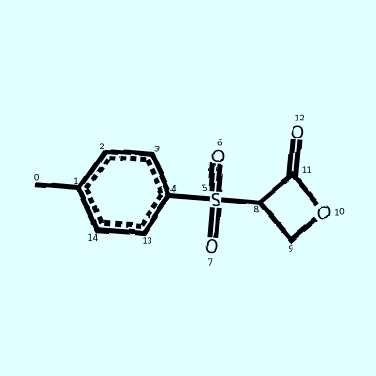 Cc1ccc(S(=O)(=O)C2COC2=O)cc1